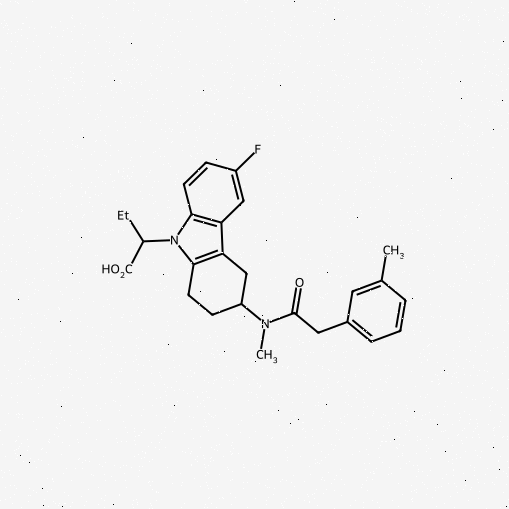 CCC(C(=O)O)n1c2c(c3cc(F)ccc31)CC(N(C)C(=O)Cc1cccc(C)c1)CC2